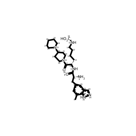 Cc1cc(C[C@@H](N)C(=O)N[C@@H](CCCCNC(=O)O)C(=O)N2CCC(N3CCCCC3)CC2)cc2cn[nH]c12